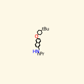 CCCNCc1ccc2cc(O[C@H]3CC[C@H](C(C)(C)C)CC3)ccc2c1